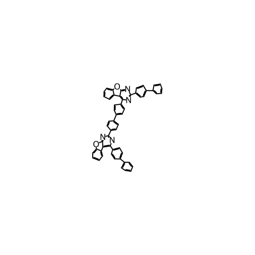 c1ccc(-c2ccc(-c3nc(-c4ccc(-c5ccc(-c6nc(-c7ccc(-c8ccccc8)cc7)c7c(n6)oc6ccccc67)cc5)cc4)c4c(n3)oc3ccccc34)cc2)cc1